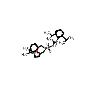 CC(C)c1cccc(C(C)C)c1NC(=O)NS(=O)(=O)N(Cc1ccccc1)Cc1ccn(C(C)C)n1